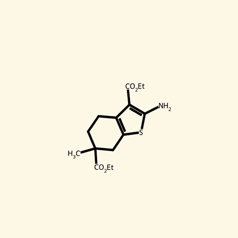 CCOC(=O)c1c(N)sc2c1CCC(C)(C(=O)OCC)C2